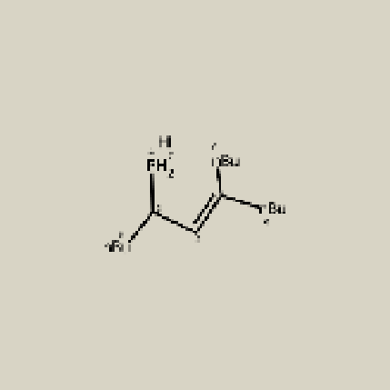 CCCCC(=CC(P)CCCC)CCCC.I